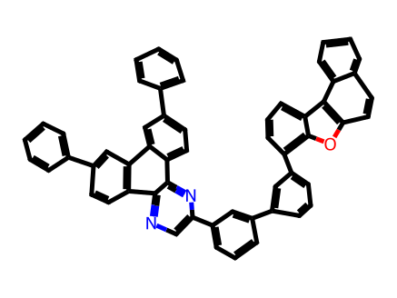 c1ccc(-c2ccc3c(c2)c2cc(-c4ccccc4)ccc2c2nc(-c4cccc(-c5cccc(-c6cccc7c6oc6ccc8ccccc8c67)c5)c4)cnc32)cc1